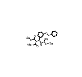 COC(=O)C(C(=O)OC(C)(C)C)[C@H](NC(O)OC(C)(C)C)c1cccc(OCc2ccccc2)c1